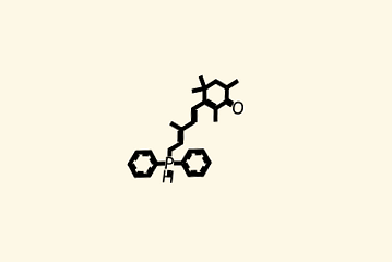 CC1=C(/C=C/C(C)=C/C[PH](C)(c2ccccc2)c2ccccc2)C(C)(C)CC(C)C1=O